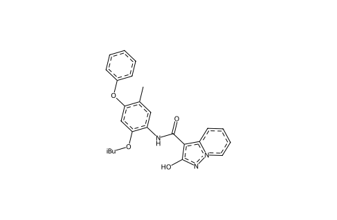 CCC(C)Oc1cc(Oc2ccccc2)c(C)cc1NC(=O)c1c(O)nn2ccccc12